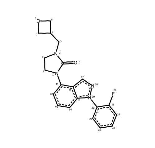 O=C1N(CC2COC2)CCN1c1cccc2c1cnn2-c1ccccc1F